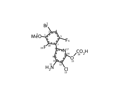 COc1c(Br)cc(F)c(-c2cc(N)c(Cl)c(OC(=O)O)n2)c1F